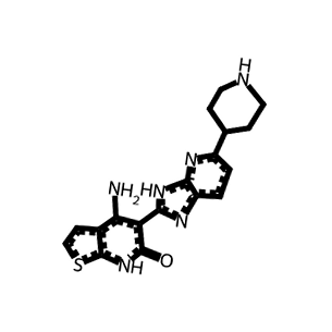 Nc1c(-c2nc3ccc(C4CCNCC4)nc3[nH]2)c(=O)[nH]c2sccc12